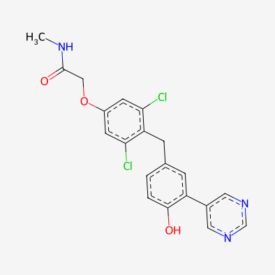 CNC(=O)COc1cc(Cl)c(Cc2ccc(O)c(-c3cncnc3)c2)c(Cl)c1